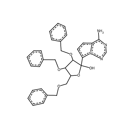 Nc1ncnn2c(C3(O)OC(COCc4ccccc4)C(OCc4ccccc4)C3OCc3ccccc3)ccc12